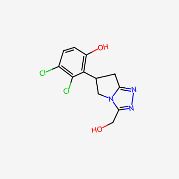 OCc1nnc2n1CC(c1c(O)ccc(Cl)c1Cl)C2